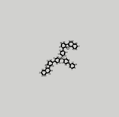 c1ccc(-c2ccc(N(c3ccc(-c4ccc5sc6c7ccccc7ccc6c5c4)cc3)c3ccc(-c4cccc5c4oc4c6ccccc6ccc54)cc3)cc2)cc1